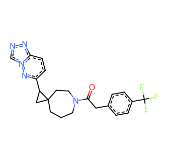 O=C(Cc1ccc(C(F)(F)F)cc1)N1CCCC2(CC1)CC2c1ccc2nncn2n1